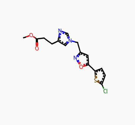 COC(=O)CCc1cn(Cc2cc(-c3ccc(Cl)s3)on2)cn1